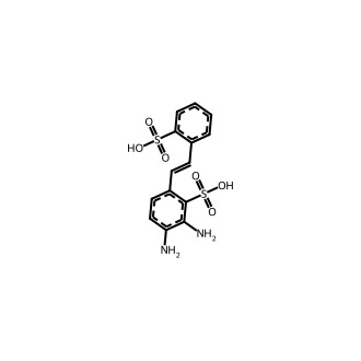 Nc1ccc(C=Cc2ccccc2S(=O)(=O)O)c(S(=O)(=O)O)c1N